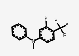 CN(c1ccccc1)c1ccc(C(F)(F)F)c(F)c1